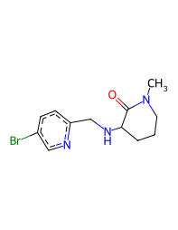 CN1CCCC(NCc2ccc(Br)cn2)C1=O